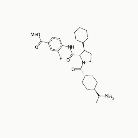 COC(=O)c1ccc(NC(=O)[C@@H]2[C@@H](C3CCCCC3)CCN2C(=O)[C@H]2CC[C@H](C(C)N)CC2)c(F)c1